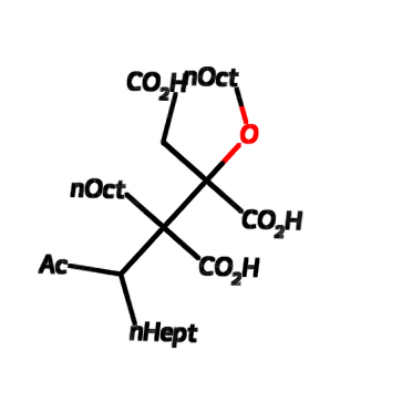 CCCCCCCCOC(CC(=O)O)(C(=O)O)C(CCCCCCCC)(C(=O)O)C(CCCCCCC)C(C)=O